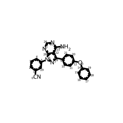 N#Cc1cccc(-n2nc(-c3ccc(Oc4ccccc4)cc3)c3c(N)ncnc32)c1